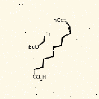 CC(C)COCC(C)C.CCCCCCCC/C=C\CCCCCCCC(=O)O